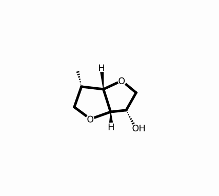 C[C@H]1CO[C@@H]2[C@H]1OC[C@@H]2O